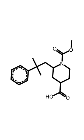 COC(=O)N1CCC(C(=O)O)CC1CC(C)(C)c1ccccc1